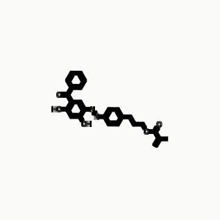 C=C(C)C(=O)OCCCc1ccc(N=Nc2cc(C(=O)c3ccccc3)c(O)cc2O)cc1